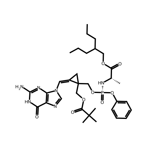 CCCC(CCC)COC(=O)[C@H](C)N[P@](=O)(OCC1(COC(=O)C(C)(C)C)C/C1=C/n1cnc2c(=O)[nH]c(N)nc21)Oc1ccccc1